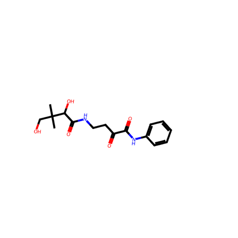 CC(C)(CO)C(O)C(=O)NCCC(=O)C(=O)Nc1ccccc1